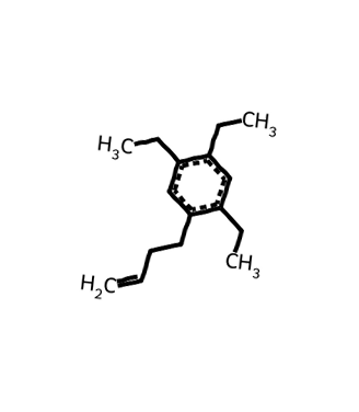 C=CCCc1cc(CC)c(CC)cc1CC